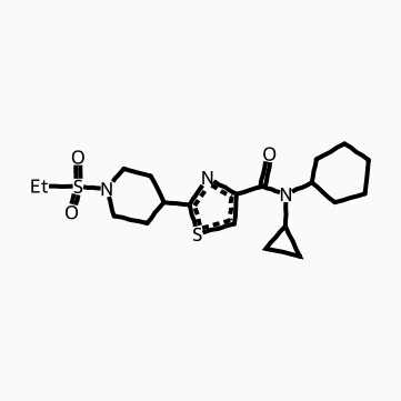 CCS(=O)(=O)N1CCC(c2nc(C(=O)N(C3CCCCC3)C3CC3)cs2)CC1